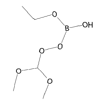 CCOB(O)OOC(OC)OC